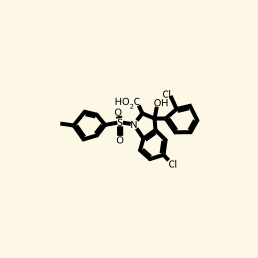 Cc1ccc(S(=O)(=O)N2c3ccc(Cl)cc3C(O)(c3ccccc3Cl)C2C(=O)O)cc1